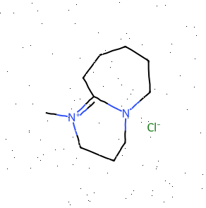 C[N+]1=C2CCCCCN2CCC1.[Cl-]